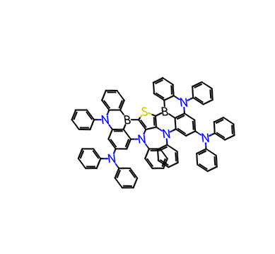 c1ccc(N(c2ccccc2)c2cc3c4c(c2)N(c2ccccc2)c2c(sc5c2N(c2ccccc2)c2cc(N(c6ccccc6)c6ccccc6)cc6c2B5c2ccccc2N6c2ccccc2)B4c2ccccc2N3c2ccccc2)cc1